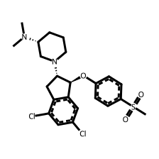 CN(C)[C@@H]1CCCN([C@H]2Cc3c(Cl)cc(Cl)cc3[C@@H]2Oc2ccc(S(C)(=O)=O)cc2)C1